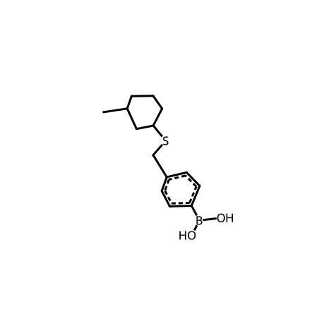 CC1CCCC(SCc2ccc(B(O)O)cc2)C1